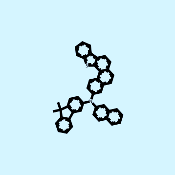 CC1(C)c2ccccc2-c2cc(N(c3ccc4ccccc4c3)c3ccc4c(ccc5ccc6c7ccccc7sc6c54)c3)ccc21